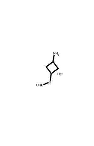 Cl.NC1CC(OC=O)C1